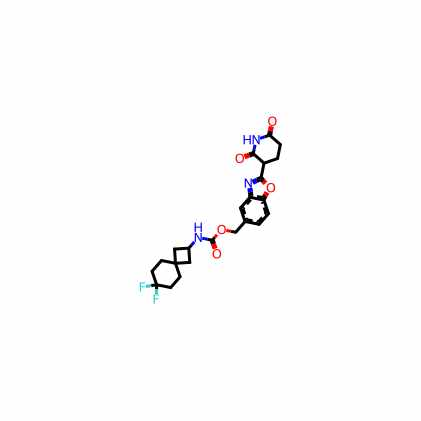 O=C1CCC(c2nc3cc(COC(=O)NC4CC5(CCC(F)(F)CC5)C4)ccc3o2)C(=O)N1